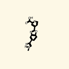 Cn1cc(-c2ccc3oc(-c4ccnc(C(=O)O)c4)nc3c2)nn1